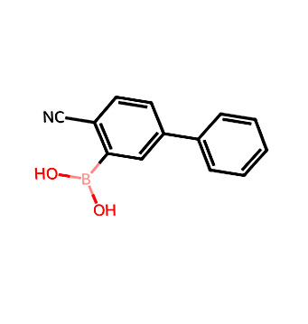 N#Cc1ccc(-c2ccccc2)cc1B(O)O